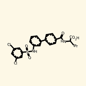 CC(C)C(NC(=O)c1ccc(-c2cccc(NS(=O)(=O)c3cc(Cl)cc(Cl)c3)c2)cc1)C(=O)O